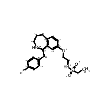 CCS(=O)(=O)NCCOc1ccc2c(c1)C(Cc1ccc(F)cc1)NCCC2